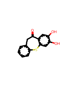 O=C1Cc2ccccc2Sc2cc(O)c(O)cc21